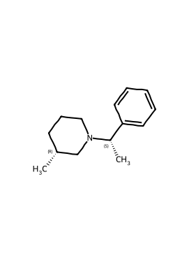 C[C@@H]1CCCN([C@@H](C)c2ccccc2)C1